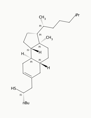 CCCC[C@H](S)CC1=CC[C@@H]2[C@H](CC[C@]3(C)[C@@H]([C@H](C)CCCC(C)C)CC[C@@H]23)C1